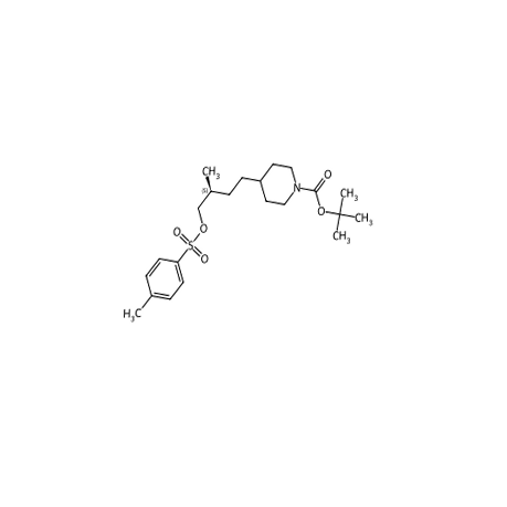 Cc1ccc(S(=O)(=O)OC[C@@H](C)CCC2CCN(C(=O)OC(C)(C)C)CC2)cc1